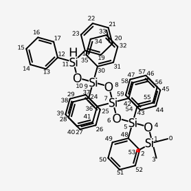 C[Si](C)(C)O[Si](O[Si](O[Si](O[SiH](c1ccccc1)c1ccccc1)(c1ccccc1)c1ccccc1)(c1ccccc1)c1ccccc1)(c1ccccc1)c1ccccc1